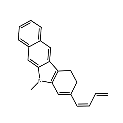 C=C/C=C\C1=Cc2c(c3cc4ccccc4cc3n2C)CC1